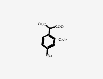 CC(C)(C)c1ccc(C(C(=O)[O-])C(=O)[O-])cc1.[Ca+2]